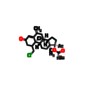 C=C1C[C@H]2[C@@H]3CC[C@](OC(=O)CCCC)(C(C)=O)[C@@]3(C)CC[C@@H]2[C@]2(C)C1=CC(=O)CC2CCl